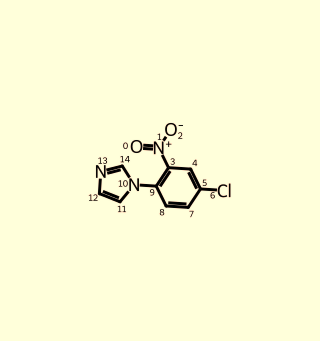 O=[N+]([O-])c1cc(Cl)ccc1-n1ccnc1